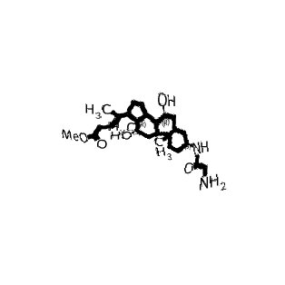 COC(=O)CCC(C)C1CCC2C3C(C[C@H](O)[C@]12C)C1(C)CC[C@H](NC(=O)CN)CC1C[C@H]3O